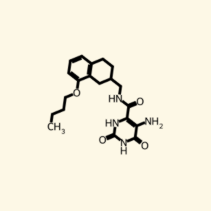 CCCCOc1cccc2c1CC(CNC(=O)c1[nH]c(=O)[nH]c(=O)c1N)CC2